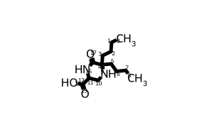 CCCCC1(CCCC)NCC(C(=O)O)NC1=O